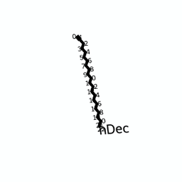 [C]#CCCCCCCCCCCCCCCCCCCCCCCCCCCCCC[CH2]